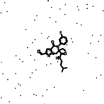 CCC1(C(=O)NCCC(C)C)Cn2nc(C=O)cc2C(=O)N1c1cccc(F)c1